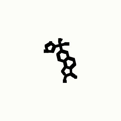 CCN1Cc2c(ccc3cc(C(O)(c4c[nH]cn4)C(C)C)ccc23)C1=O